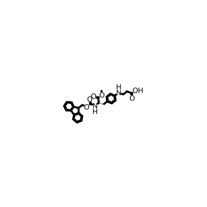 COC(=O)[C@H](Cc1ccc(NCCC(=O)O)cc1)NC(=O)OCC1c2ccccc2-c2ccccc21